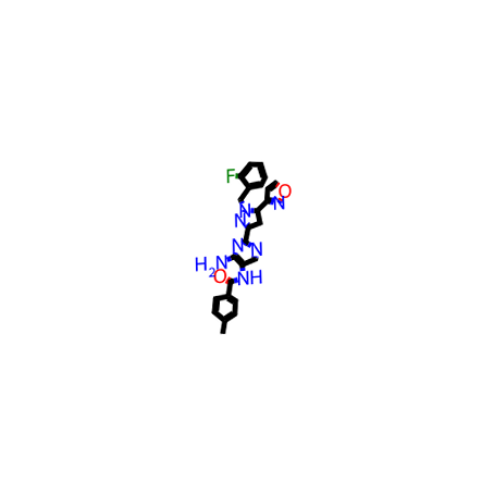 Cc1ccc(C(=O)Nc2cnc(C3=NN(Cc4ccccc4F)C(c4ccon4)C3)nc2N)cc1